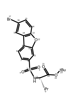 CC(C)[C@H](NS(=O)(=O)c1ccc2c(c1)oc1ccc(Br)cc12)C(=O)OC(C)(C)C